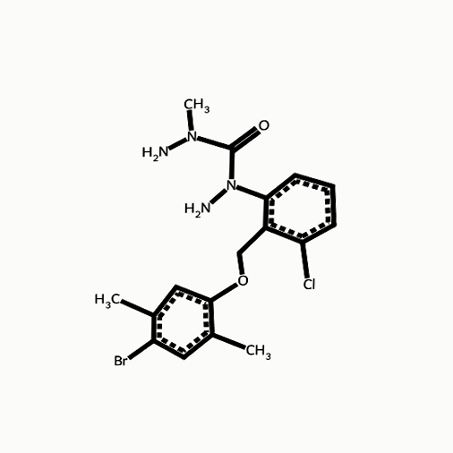 Cc1cc(OCc2c(Cl)cccc2N(N)C(=O)N(C)N)c(C)cc1Br